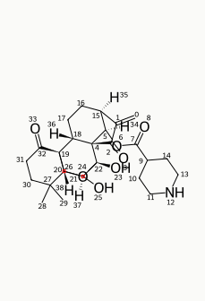 C=C1C(=O)[C@]23[C@H](OC(=O)C4CCNCC4)[C@H]1CC[C@H]2[C@@]12CO[C@]3(O)[C@@H](O)[C@@H]1C(C)(C)CCC2=O